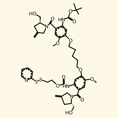 C=C1C[C@@H](CO)N(C(=O)c2cc(OC)c(OCCCCCOc3cc(NC(=O)OC(C)(C)C)c(C(=O)N4CC(=C)C[C@H]4CO)cc3OC)cc2NC(=O)OCCSSc2ccccn2)C1